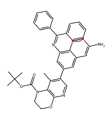 Cc1c(-c2cc(N=C(c3ccccc3)c3ccccc3)c3nnc(N)cc3c2)cnc2c1N(C(=O)OC(C)(C)C)CCO2